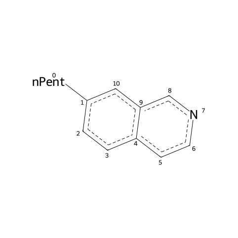 CCCCCc1ccc2ccncc2c1